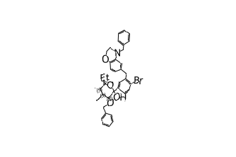 CC[C@H]1OC(O)(c2ccc(Br)c(Cc3ccc4c(c3)N(Cc3ccccc3)CCO4)c2)[C@H](OCc2ccccc2)[C@@H](C)[C@@H]1C